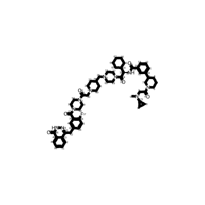 CN(CC(=O)N1CCCC(c2cccc(C(=O)N[C@@H](C(=O)N3CCN(CC4CCN(CC(=O)N5CCN(C(=O)c6cc(Cc7n[nH]c(=O)c8ccccc78)ccc6F)CC5)CC4)CC3)C3CCCCC3)c2)C1)C1CC1